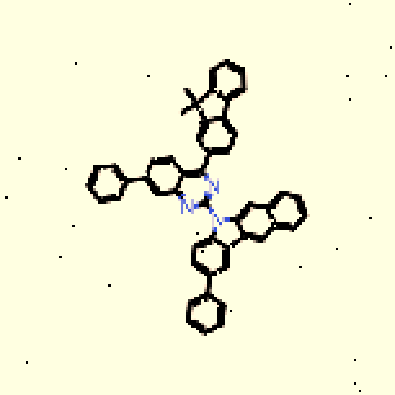 CC1(C)c2ccccc2-c2ccc(-c3nc(-n4c5ccc(-c6ccccc6)cc5c5cc6ccccc6cc54)nc4cc(-c5ccccc5)ccc34)cc21